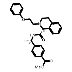 COC(=O)c1ccc([C@H](C)NC(=O)[C@H]2c3ccccc3CCN2CCOc2ccccc2)cc1